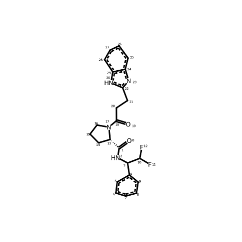 O=C(NC(c1ccccc1)C(F)F)[C@@H]1CCCN1C(=O)CCc1nc2ccccc2[nH]1